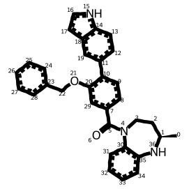 C[C@@H]1CCN(C(=O)c2ccc(-c3ccc4[nH]ccc4c3)c(OCc3ccccc3)c2)c2ccccc2N1